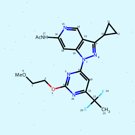 COCCOc1nc(-n2nc(C3CC3)c3cnc(NC(C)=O)cc32)cc(C(C)(F)F)n1